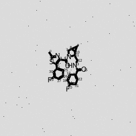 Cc1nc(C(=O)N2CC3CC3C2CNC(=O)c2ccc(F)cc2)c(-c2cccc(F)c2)s1